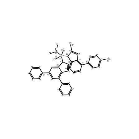 CC1=Cc2c(-c3ccccc3)cc(-c3ccccc3)cc2[CH]1[Zr]([Cl])([Cl])([CH]1C(C(C)C)=Cc2c(-c3ccc(C(C)(C)C)cc3)cccc21)[SiH](C)C